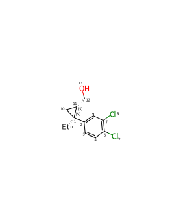 CC[C@]1(c2ccc(Cl)c(Cl)c2)C[C@@H]1CO